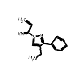 C=CC(=N)n1cc(CN)c(-c2ccccc2)n1